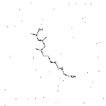 CCCCCCCCCCOCOCCCC(C)CC(C)CC(C)O